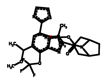 COC(C)c1cc(-c2nccs2)c2oc(N3CC4CCC(C3)N4C(=O)OC(C)(C)C)nc2c1OC(F)(F)F